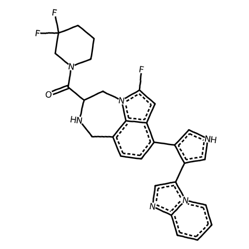 O=C(C1Cn2c(F)cc3c(-c4c[nH]cc4-c4cnc5ccccn45)ccc(c32)CN1)N1CCCC(F)(F)C1